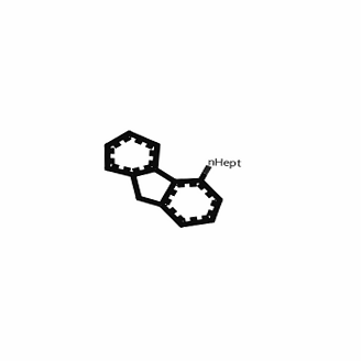 CCCCCCCc1cc[c]c2c1-c1ccccc1C2